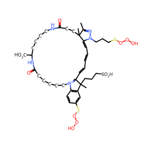 CC1=NN(CCCSOOO)/C2=C/C=C/C=C/C3=[N+](CCCCCC(=O)NC(C(=O)O)CCCCNC(=O)CCC12C)c1ccc(SOOO)cc1C3(C)CCCS(=O)(=O)O